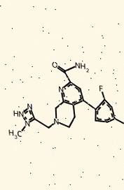 Cn1[nH]nc1CN1CCc2c(-c3ccc(F)cc3F)cc(C(N)=O)nc2C1